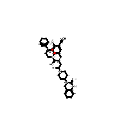 C#Cc1cc(C[C@@H](CC(=O)N2CCC(N3Cc4ccccc4NC3=O)CC2)C(=O)N2CCN(C3CN4CCC3CC4)CC2)cc(Cl)c1N